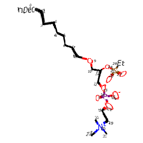 CCCCCCCCCCCCCCCCCCOCC(COP(=O)([O-])OCC[N+](C)(C)C)OS(=O)(=O)CC